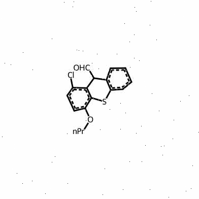 CCCOc1ccc(Cl)c2c1Sc1ccccc1C2C=O